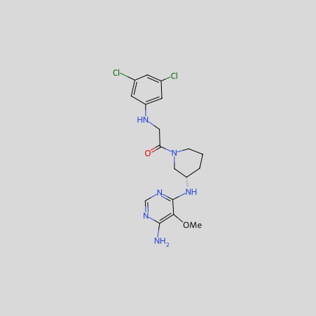 COc1c(N)ncnc1N[C@H]1CCCN(C(=O)CNc2cc(Cl)cc(Cl)c2)C1